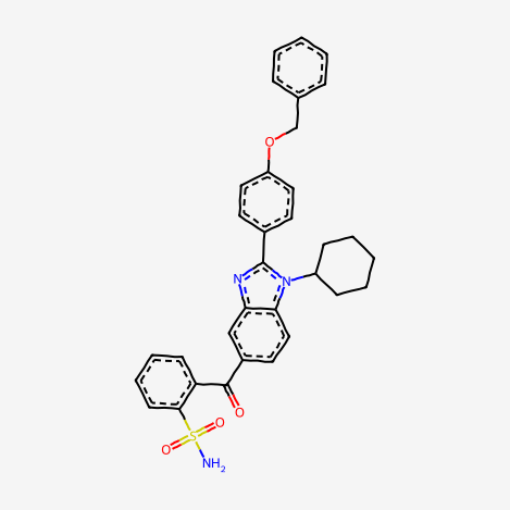 NS(=O)(=O)c1ccccc1C(=O)c1ccc2c(c1)nc(-c1ccc(OCc3ccccc3)cc1)n2C1CCCCC1